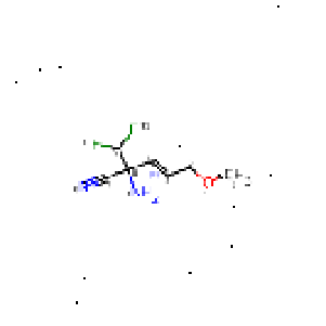 COC/C=C/C(N)(C#N)C(F)F